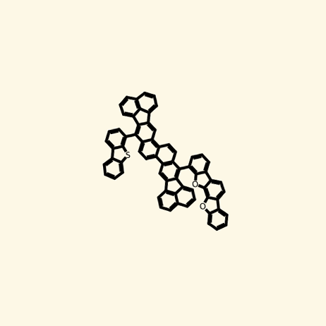 c1cc2c3c(cccc3c1)-c1c-2cc2c(ccc3c4cc5c(c(-c6cccc7c6sc6ccccc67)c4ccc23)-c2cccc3cccc-5c23)c1-c1cccc2c1oc1c2ccc2c3ccccc3oc21